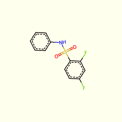 O=S(=O)(Nc1ccccc1)c1ccc(F)cc1F